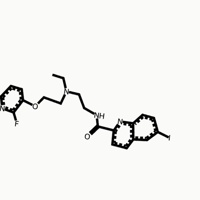 CCN(CCNC(=O)c1ccc2cc(I)ccc2n1)CCOc1cccnc1F